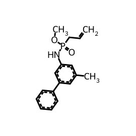 C=CCP(=O)(Nc1cc(C)cc(-c2ccccc2)c1)OC